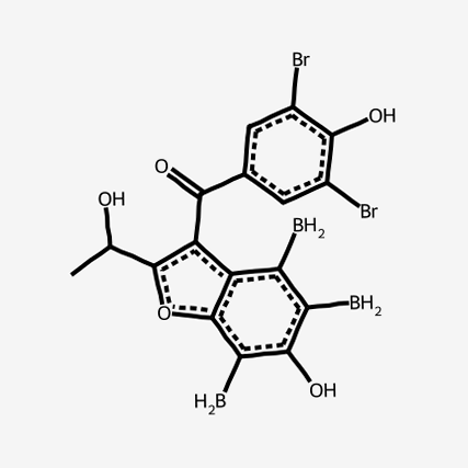 Bc1c(O)c(B)c2oc(C(C)O)c(C(=O)c3cc(Br)c(O)c(Br)c3)c2c1B